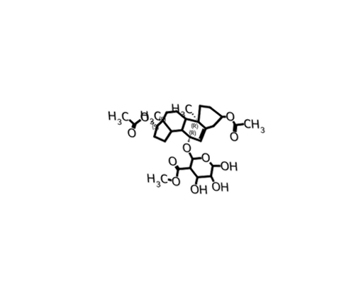 COC(=O)C1C(O[C@H]2C=C3CC(OC(C)=O)CC[C@]3(C)C3CC[C@@]4(C)C(CC[C@@H]4OC(C)=O)C32)OC(O)C(O)C1O